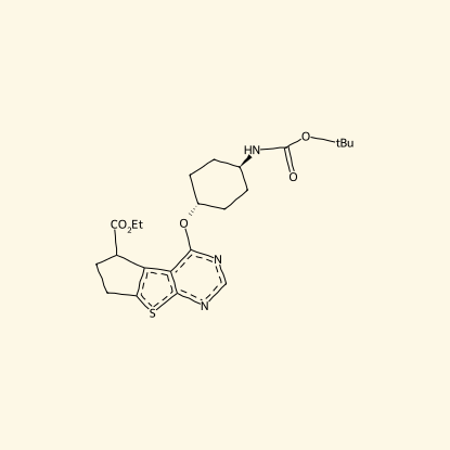 CCOC(=O)C1CCc2sc3ncnc(O[C@H]4CC[C@H](NC(=O)OC(C)(C)C)CC4)c3c21